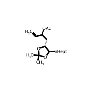 C=C[C@H](C[C@H]1OC(C)(C)O[C@@H]1CCCCCCC)OC(C)=O